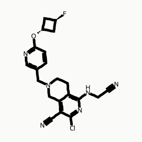 N#CCNc1nc(Cl)c(C#N)c2c1CCN(Cc1ccc(O[C@H]3C[C@H](F)C3)nc1)C2